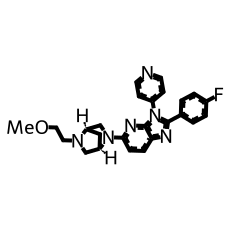 COCCN1C[C@H]2C[C@@H]1CN2c1ccc2nc(-c3ccc(F)cc3)n(-c3ccncc3)c2n1